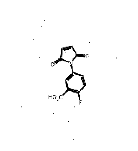 O=C(O)c1cc(N2C(=O)C=CC2=O)ccc1F